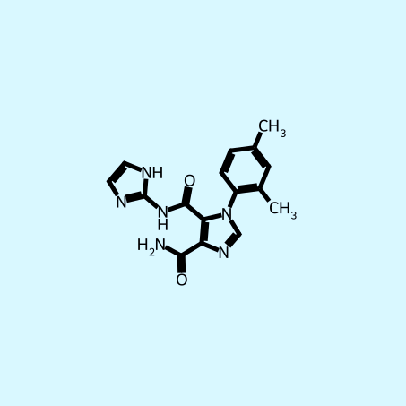 Cc1ccc(-n2cnc(C(N)=O)c2C(=O)Nc2ncc[nH]2)c(C)c1